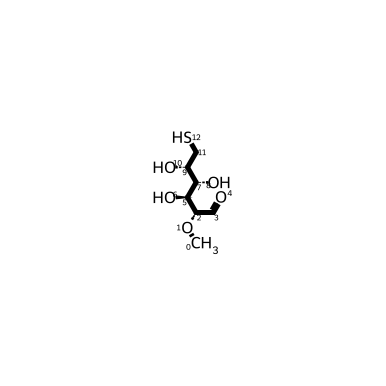 CO[C@@H](C=O)[C@@H](O)[C@@H](O)[C@H](O)CS